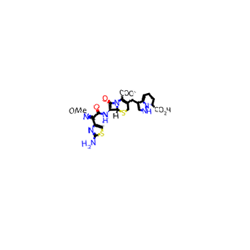 CO/N=C(\C(=O)N[C@@H]1C(=O)N2C(C(=O)[O-])=C(Cc3c[nH][n+]4c(C(=O)O)cccc34)CS[C@H]12)c1csc(N)n1